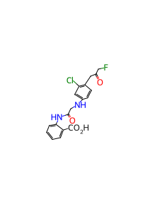 O=C(CF)Cc1ccc(NCC(=O)Nc2ccccc2C(=O)O)cc1Cl